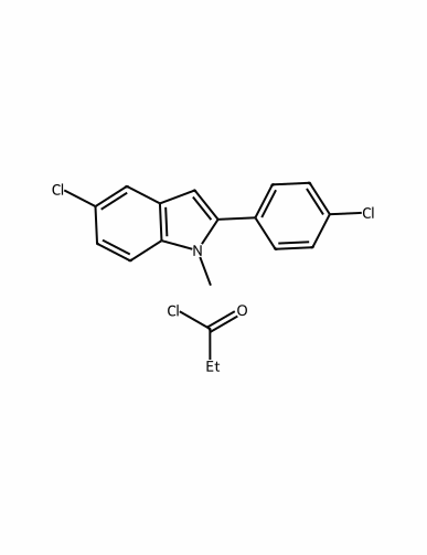 CCC(=O)Cl.Cn1c(-c2ccc(Cl)cc2)cc2cc(Cl)ccc21